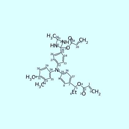 C=CC(=O)OC(CC)c1ccc(N(c2ccc(C3(OC(=O)C=C)NC(C)N3)cc2)c2ccc(C)c(C)c2)cc1